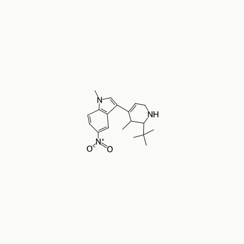 CC1C(c2cn(C)c3ccc([N+](=O)[O-])cc23)=CCNC1C(C)(C)C